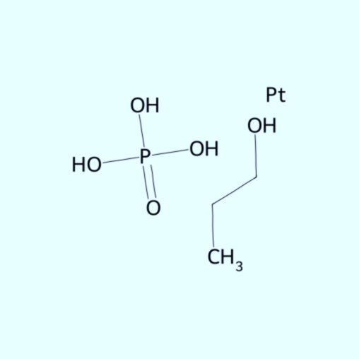 CCCO.O=P(O)(O)O.[Pt]